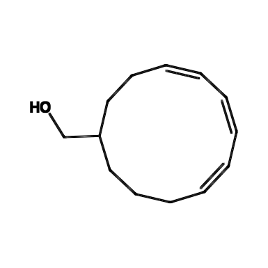 OCC1CCC=CC=CC=CCCC1